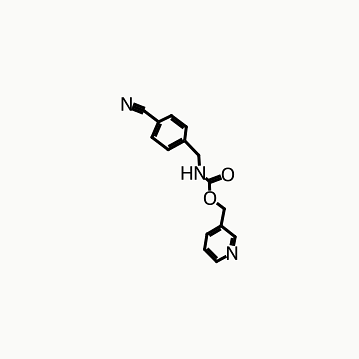 N#Cc1ccc(CNC(=O)OCc2cccnc2)cc1